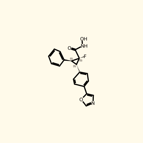 O=C(NO)[C@]1(F)[C@H](c2ccccc2)[C@H]1c1ccc(-c2cnco2)cc1